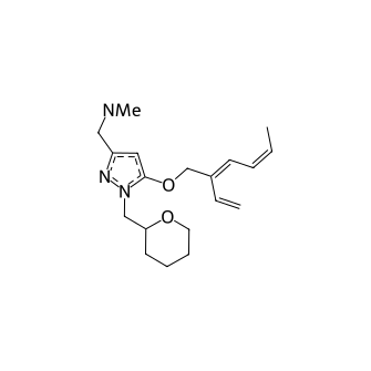 C=C/C(=C\C=C/C)COc1cc(CNC)nn1CC1CCCCO1